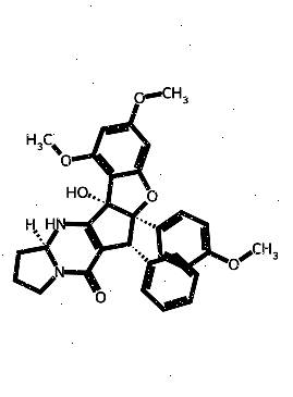 COc1ccc([C@@]23Oc4cc(OC)cc(OC)c4[C@]2(O)C2=C(C(=O)N4CCC[C@H]4N2)[C@H]3c2ccccc2)cc1